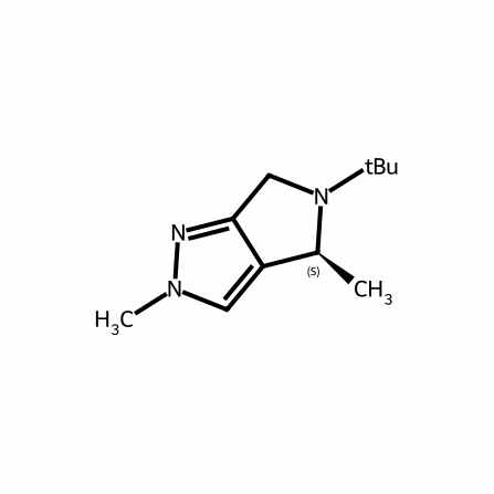 C[C@H]1c2cn(C)nc2CN1C(C)(C)C